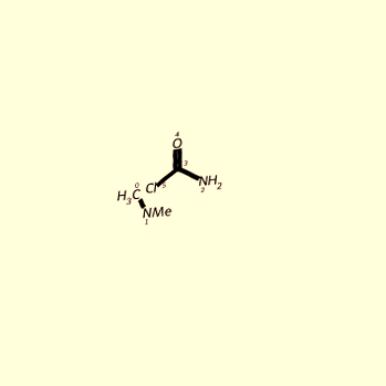 CNC.NC(=O)Cl